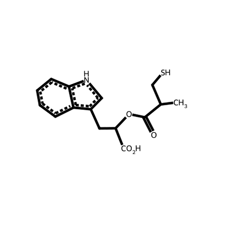 CC(CS)C(=O)OC(Cc1c[nH]c2ccccc12)C(=O)O